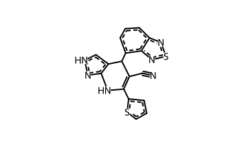 N#CC1=C(c2cccs2)Nc2n[nH]cc2C1c1cccc2nsnc12